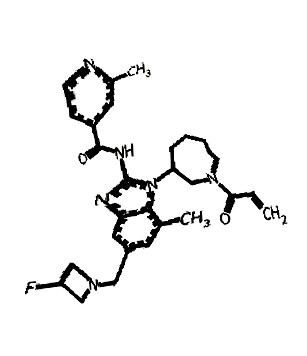 C=CC(=O)N1CCCCC(n2c(NC(=O)c3ccnc(C)c3)nc3cc(CN4CC(F)C4)cc(C)c32)C1